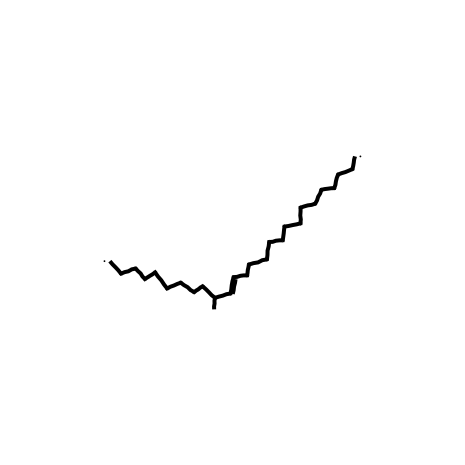 [CH2]CCCCCCCCCCCCCC=CC(C)CCCCCCCC[CH2]